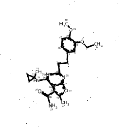 CCOc1cc(CCc2nc(NC3(C)CC3)c3c(C(N)=O)c(C)oc3n2)ccc1OC